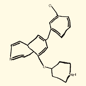 Clc1cccc(C2=CC3C=CN=CC3C(OC3CCNCC3)=C2)c1